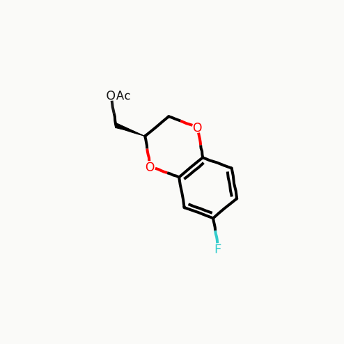 CC(=O)OC[C@H]1COc2ccc(F)cc2O1